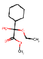 CCOC(O)(C(=O)OC)C1CCCCC1